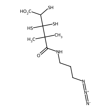 CC(C)(C(=O)NCCCN=[N+]=[N-])C(S)(S)C(S)C(=O)O